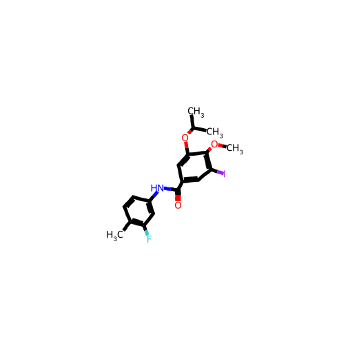 COc1c(I)cc(C(=O)Nc2ccc(C)c(F)c2)cc1OC(C)C